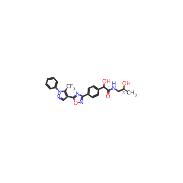 C[C@H](O)CNC(=O)C(O)c1ccc(-c2noc(-c3cnn(-c4ccccc4)c3C(F)(F)F)n2)cc1